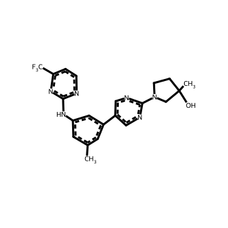 Cc1cc(Nc2nccc(C(F)(F)F)n2)cc(-c2cnc(N3CCC(C)(O)C3)nc2)c1